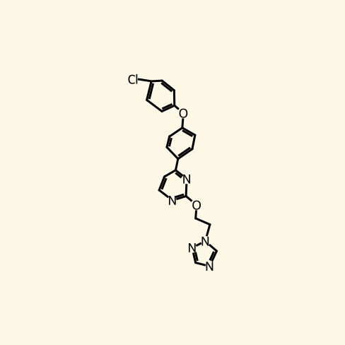 Clc1ccc(Oc2ccc(-c3ccnc(OCCn4cncn4)n3)cc2)cc1